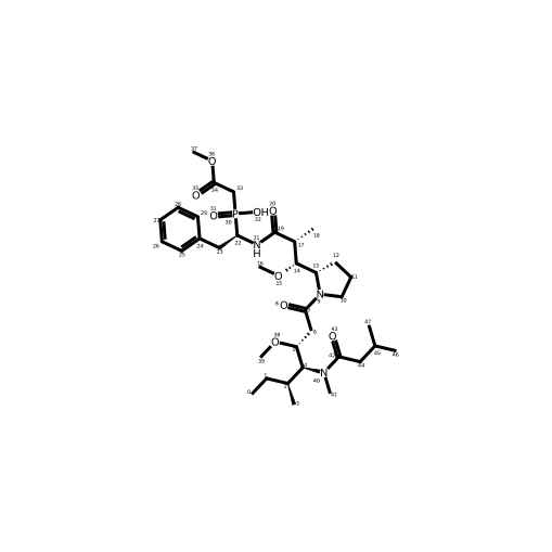 CC[C@H](C)[C@@H]([C@@H](CC(=O)N1CCC[C@H]1[C@H](OC)[C@@H](C)C(=O)N[C@@H](Cc1ccccc1)P(=O)(O)CC(=O)OC)OC)N(C)C(=O)CC(C)C